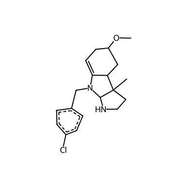 COC1CC=C2C(C1)C1(C)CCNC1N2Cc1ccc(Cl)cc1